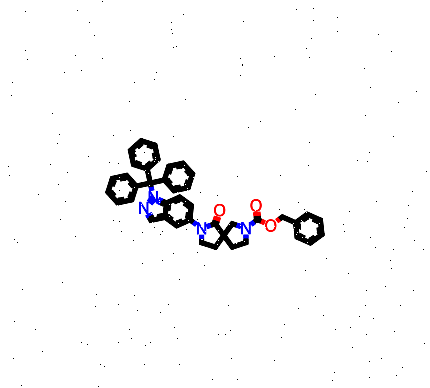 O=C(OCc1ccccc1)N1CCC2(CCN(c3ccc4c(cnn4C(c4ccccc4)(c4ccccc4)c4ccccc4)c3)C2=O)C1